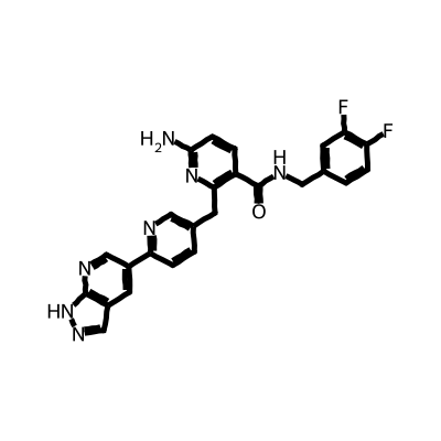 Nc1ccc(C(=O)NCc2ccc(F)c(F)c2)c(Cc2ccc(-c3cnc4[nH]ncc4c3)nc2)n1